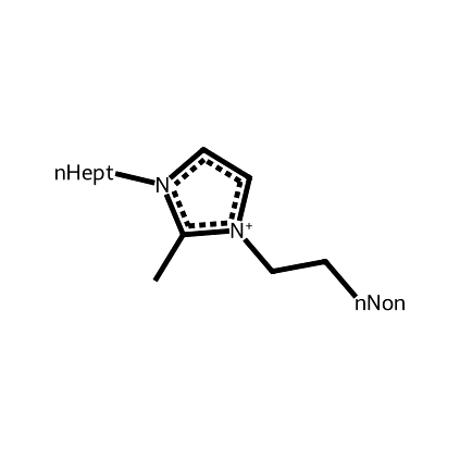 CCCCCCCCCCC[n+]1ccn(CCCCCCC)c1C